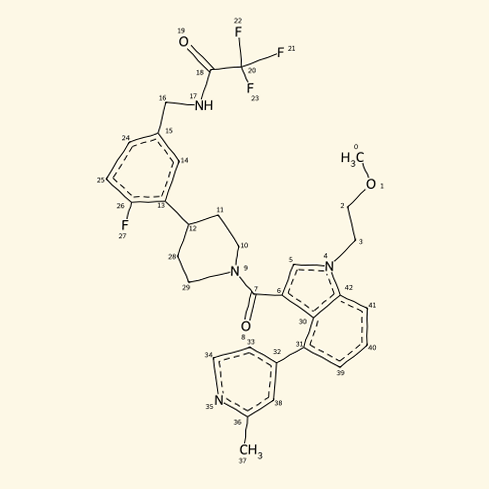 COCCn1cc(C(=O)N2CCC(c3cc(CNC(=O)C(F)(F)F)ccc3F)CC2)c2c(-c3ccnc(C)c3)cccc21